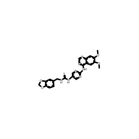 COc1cc2ncnc(Nc3ncc(NC(=S)NCc4ccc5c(c4)OCO5)cn3)c2cc1OC